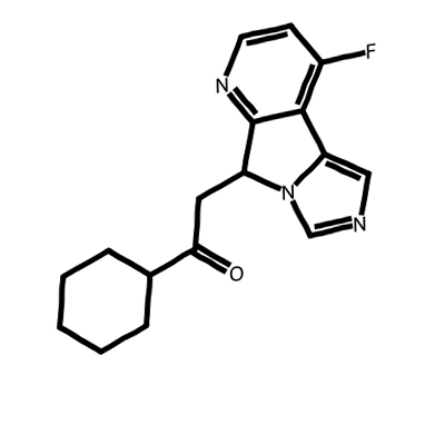 O=C(CC1c2nccc(F)c2-c2cncn21)C1CCCCC1